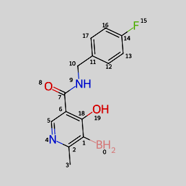 Bc1c(C)ncc(C(=O)NCc2ccc(F)cc2)c1O